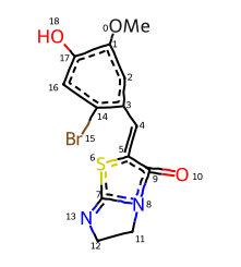 COc1cc(/C=c2\sc3n(c2=O)CCN=3)c(Br)cc1O